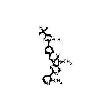 Cc1ncccc1-c1ncc2c(n1)n(Cc1ccc(-c3nc(C(F)(F)F)cn3C)cc1)c(=O)n2C